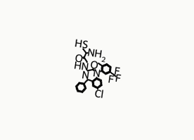 Cc1ccc(C(F)(F)F)cc1N1C(=O)C(NCC(=O)C(N)CS)N=C(c2ccccc2)c2cc(Cl)ccc21